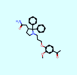 COc1cc(C(C)=O)ccc1OCCCN1CCC(CC(N)=O)C1(c1ccccc1)c1ccccc1